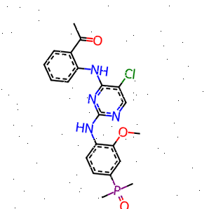 COc1cc(P(C)(C)=O)ccc1Nc1ncc(Cl)c(Nc2ccccc2C(C)=O)n1